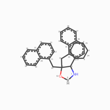 B1NC(C2CCCCC2)C(Cc2cccc3ccccc23)(Cc2cccc3ccccc23)O1